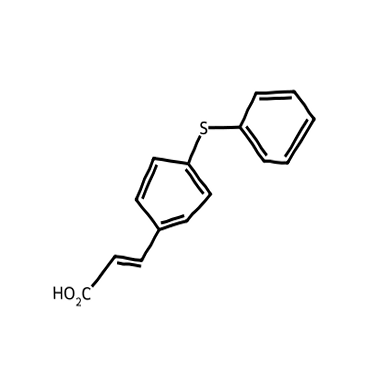 O=C(O)/C=C/c1ccc(Sc2ccccc2)cc1